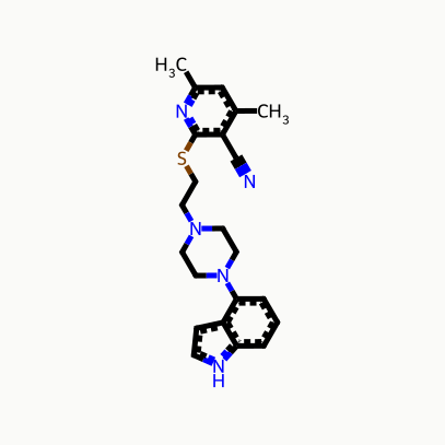 Cc1cc(C)c(C#N)c(SCCN2CCN(c3cccc4[nH]ccc34)CC2)n1